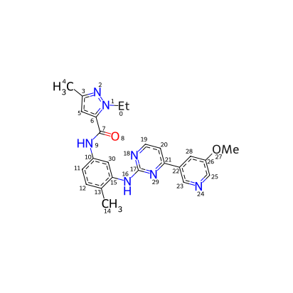 CCn1nc(C)cc1C(=O)Nc1ccc(C)c(Nc2nccc(-c3cncc(OC)c3)n2)c1